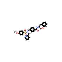 CCOc1ccc(S(=O)(=O)N(Cc2ccc(C(=O)N[C@H](CO)Cc3ccccc3)cc2)Cc2ccccn2)cc1